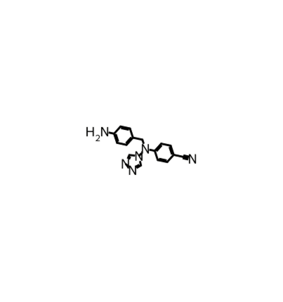 N#Cc1ccc(N(Cc2ccc(N)cc2)n2cnnc2)cc1